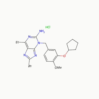 CCc1nc(N)n(Cc2ccc(OC)c(OC3CCCC3)c2)c2nc(C(C)C)nc1-2.Cl